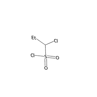 CCC(Cl)S(=O)(=O)Cl